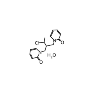 CC(Cl)C(Cn1ccccc1=O)Cn1ccccc1=O.O